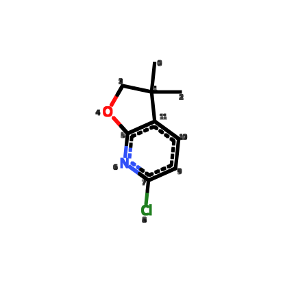 CC1(C)COc2nc(Cl)ccc21